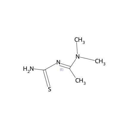 C/C(=N\C(N)=S)N(C)C